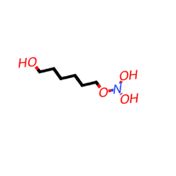 OCCCCCCON(O)O